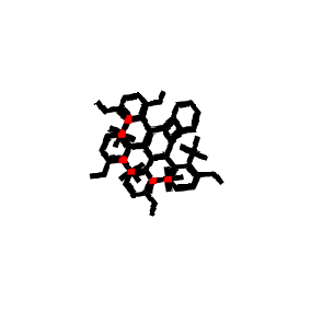 CCc1ccc(CC)c(C(C)(C)C)c1-c1c(-c2c(CC)ccc(CC)c2C(C)(C)C)c(-c2c(CC)ccc(CC)c2C(C)(C)C)c2c(c1-c1c(CC)ccc(CC)c1C(C)(C)C)=c1ccccc1=2